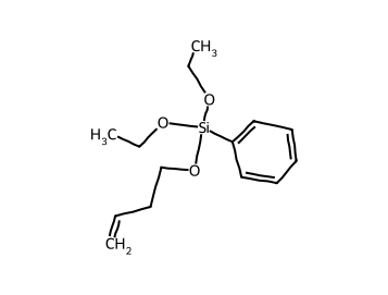 C=CCCO[Si](OCC)(OCC)c1ccccc1